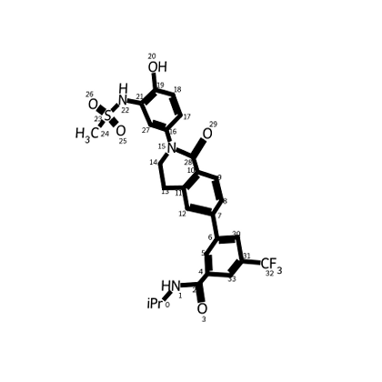 CC(C)NC(=O)c1cc(-c2ccc3c(c2)CCN(c2ccc(O)c(NS(C)(=O)=O)c2)C3=O)cc(C(F)(F)F)c1